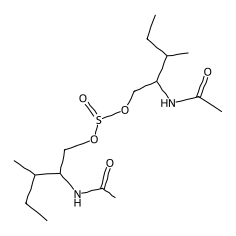 CCC(C)C(COS(=O)OCC(NC(C)=O)C(C)CC)NC(C)=O